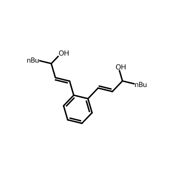 CCCCC(O)C=Cc1ccccc1C=CC(O)CCCC